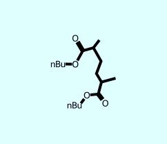 CCCCOC(=O)C(C)CCC(C)C(=O)OCCCC